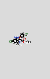 CC(C)(C)C[C@@H]1N[C@@H](C(=O)OC(C)(C)C)[C@@H](c2cccc(Cl)c2)C12C(=O)Nc1cc(Cl)ccc12